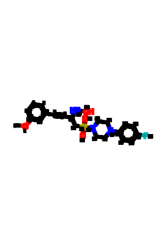 COc1cccc(C#CC(CS(=O)(=O)N2CCN(c3ccc(F)cc3)CC2)NO)c1